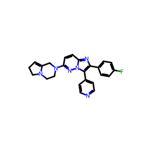 Fc1ccc(-c2nc3ccc(N4CCN5CCC=C5C4)nn3c2-c2ccncc2)cc1